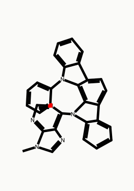 Cn1cnc2c(-n3c4ccccc4c4ccc5c6ccccc6n(-c6ccccc6)c5c43)ncnc21